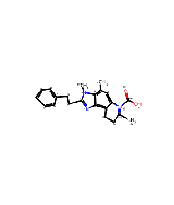 Cc1cc2c(c3nc(CCc4ccccc4)n(C)c13)CCC(C)N2C(=O)O